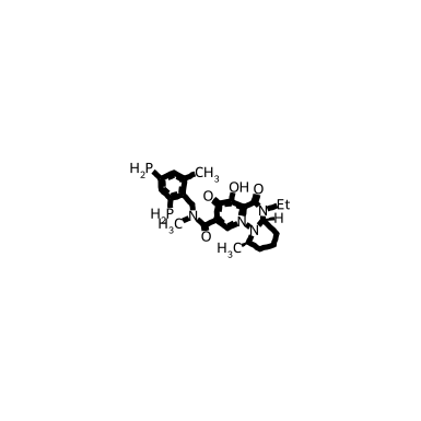 CCN1C(=O)c2c(O)c(=O)c(C(=O)N(C)Cc3c(C)cc(P)cc3P)cn2N2[C@H](C)CCC[C@@H]12